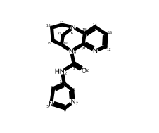 O=C(Nc1cncnc1)N1c2ncccc2N2CCCC1C2